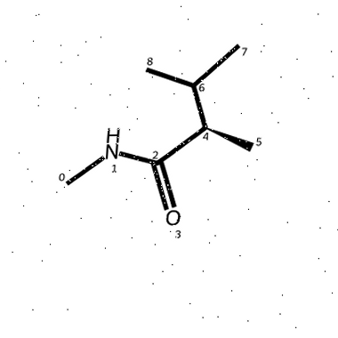 CNC(=O)[C@H](C)C(C)C